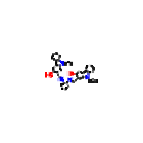 CCCCn1c2ccccc2c2cc(O)c(/C=N/c3ccccc3/N=C/c3cc4c(cc3O)c3ccccc3n4CCCC)cc21